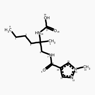 CCCCC(C)(CNC(=O)c1cnn(C)c1)NC(=O)O